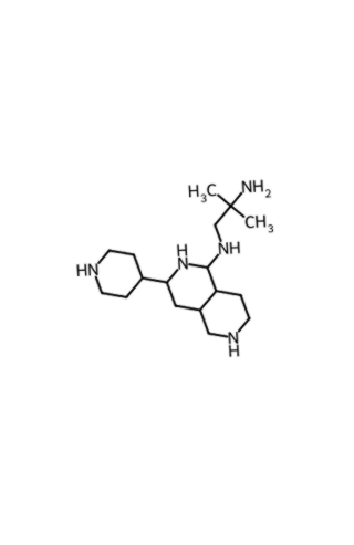 CC(C)(N)CNC1NC(C2CCNCC2)CC2CNCCC21